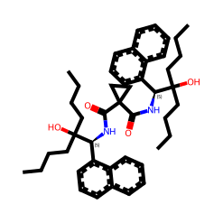 CCCCC(O)(CCCC)[C@@H](NC(=O)C1(C(=O)N[C@@H](c2cccc3ccccc23)C(O)(CCCC)CCCC)CC1)c1cccc2ccccc12